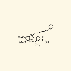 COc1cc2nc(CCCCCCCCN3CCCCC3)nc(N[C@H](C)c3cccc(C(F)(F)CO)c3)c2cc1OC